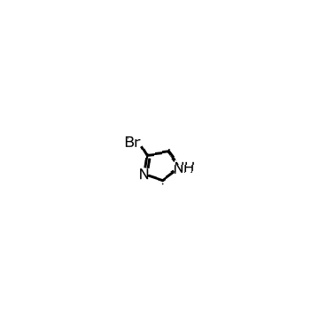 BrC1=N[CH]NC1